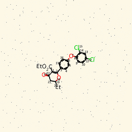 CCOC(=O)C1=C(c2ccc(Oc3ccc(Cl)cc3Cl)cc2)OC(CC)CC1=O